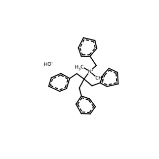 C[N+](C)(Cc1ccccc1)C(Cc1ccccc1)(Cc1ccccc1)Cc1ccccc1.[OH-]